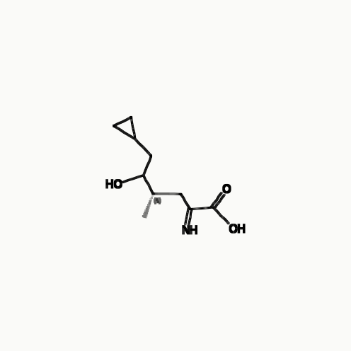 C[C@@H](CC(=N)C(=O)O)C(O)CC1CC1